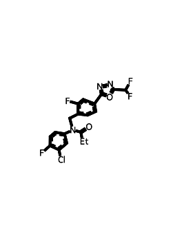 CCC(=O)N(Cc1ccc(-c2nnc(C(F)F)o2)cc1F)c1ccc(F)c(Cl)c1